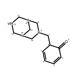 O=C1C=CC=CC1CN1CN2CNCN(C2)C1